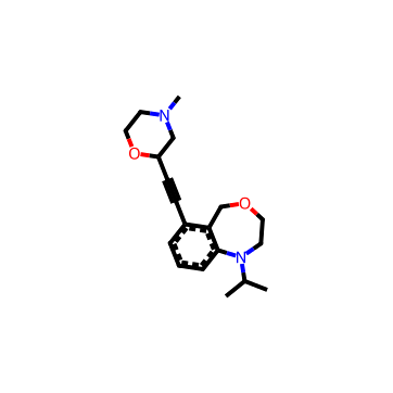 CC(C)N1CCOCc2c(C#CC3CN(C)CCO3)cccc21